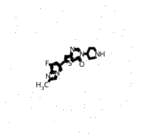 Cc1cn2cc(-c3cc4ncn(C5CCNCC5)c(=O)c4s3)cc(F)c2n1